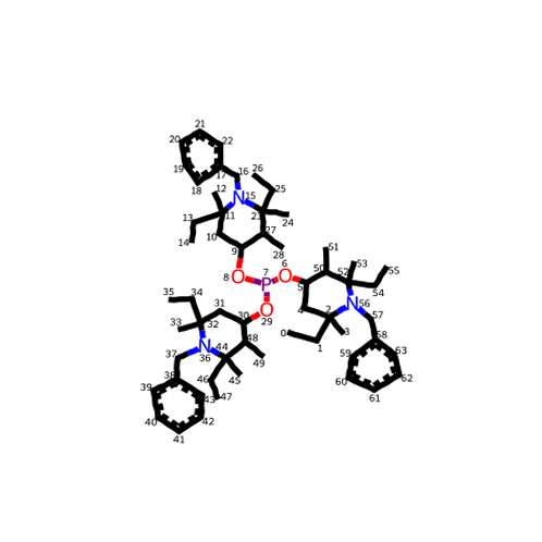 CCC1(C)CC(OP(OC2CC(C)(CC)N(Cc3ccccc3)C(C)(CC)C2C)OC2CC(C)(CC)N(Cc3ccccc3)C(C)(CC)C2C)C(C)C(C)(CC)N1Cc1ccccc1